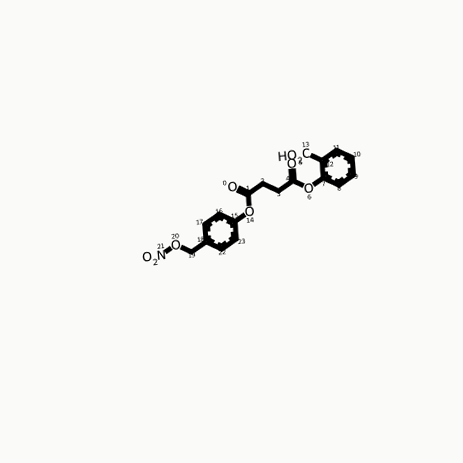 O=C(CCC(=O)Oc1ccccc1C(=O)O)Oc1ccc(CO[N+](=O)[O-])cc1